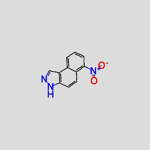 O=[N+]([O-])c1cccc2c1ccc1[nH]ncc12